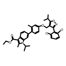 CCOC(=O)c1c(C)n(C(C)C)c2cc(-c3ccc(OCc4c(-c5c(Cl)cccc5Cl)noc4C(C)C)cc3C)ccc12